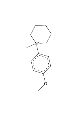 COc1ccc([N+]2(C)CCCCC2)cc1